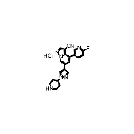 Cl.N#Cc1cnn2cc(-c3cnn(C4CCNCC4)c3)cc(-c3ccc(F)nc3)c12